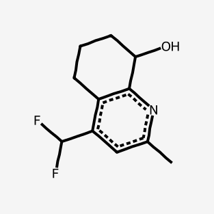 Cc1cc(C(F)F)c2c(n1)C(O)CCC2